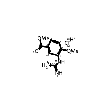 COC(=O)c1ccc(OC)c(NC(=N)N)c1.[Cl-].[H+]